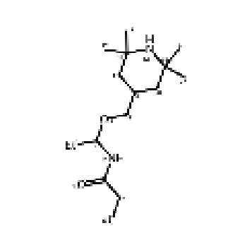 CCC(NC(=O)CCl)OCC1CC(C)(C)NC(C)(C)C1